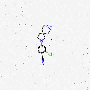 N#Cc1ccc(N2CCC3(CCNCC3)C2)cc1Cl